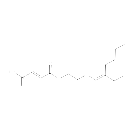 CCCCC(=COCCOC(=O)/C=C/C(=O)O)CC